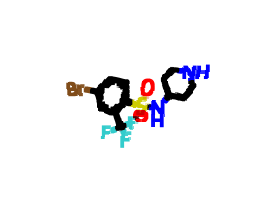 O=S(=O)(NC1CCNCC1)c1ccc(Br)cc1C(F)(F)F